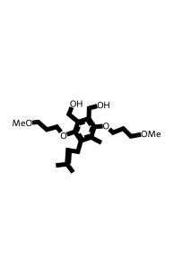 COCCCOc1c(C)c(CC=C(C)C)c(OCCCOC)c(CO)c1CO